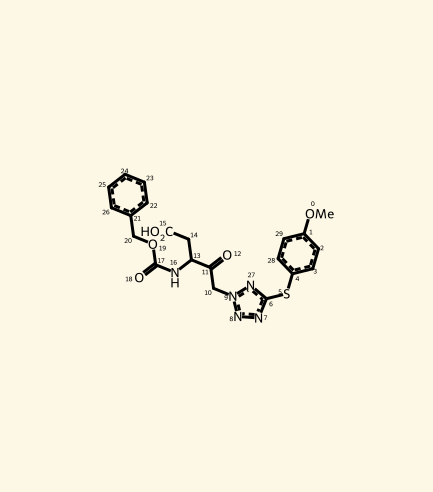 COc1ccc(Sc2nnn(CC(=O)C(CC(=O)O)NC(=O)OCc3ccccc3)n2)cc1